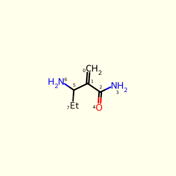 C=C(C(N)=O)C(N)CC